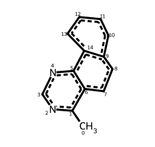 Cc1ncnc2c1ccc1ccccc12